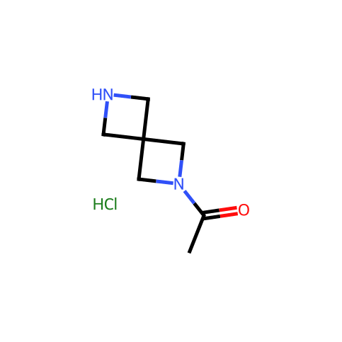 CC(=O)N1CC2(CNC2)C1.Cl